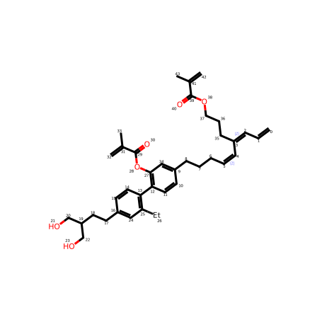 C=C/C=C(\C=C/CCCc1ccc(-c2ccc(CCC(CO)CO)cc2CC)c(OC(=O)C(=C)C)c1)CCCOC(=O)C(=C)C